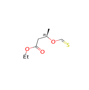 CCOC(=O)C[C@@H](C)OC=S